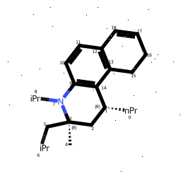 CCC[C@@H]1C[C@@](C)(CC(C)C)N(C(C)C)c2ccc3c(c21)CCC=C3